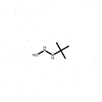 CC(C)(C)NNO